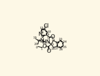 CCOC(=O)C1(NC(=O)c2cc(Cl)cnc2N(C)C(C)C)Cc2ccccc2C1